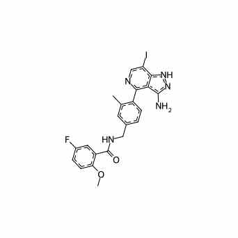 COc1ccc(F)cc1C(=O)NCc1ccc(-c2ncc(I)c3[nH]nc(N)c23)c(C)c1